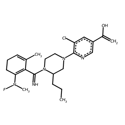 C=C(O)c1cnc(N2CCN(C(=N)C3=C(N(C)F)CCC=C3C)C(CCC)C2)c(Cl)c1